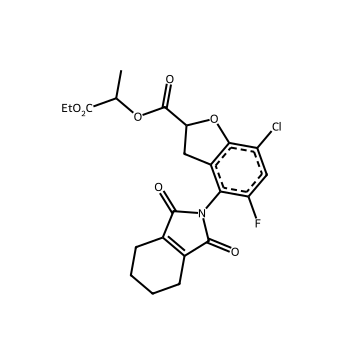 CCOC(=O)C(C)OC(=O)C1Cc2c(c(Cl)cc(F)c2N2C(=O)C3=C(CCCC3)C2=O)O1